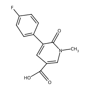 Cn1cc(C(=O)O)cc(-c2ccc(F)cc2)c1=O